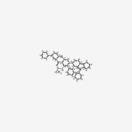 CC1C=C2c3cc(-c4ccccc4)ccc3Sc3ccc(-c4ccccc4-c4cccc5c6ccccc6n(-c6ccccc6)c45)c(c32)C1